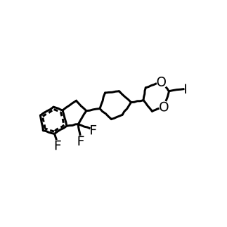 Fc1cccc2c1C(F)(F)C(C1CCC(C3COC(I)OC3)CC1)C2